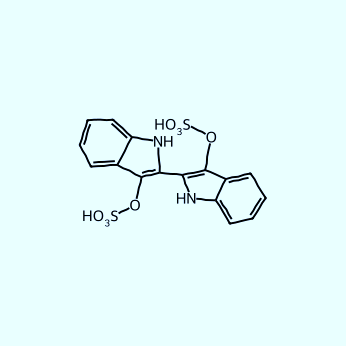 O=S(=O)(O)Oc1c(-c2[nH]c3ccccc3c2OS(=O)(=O)O)[nH]c2ccccc12